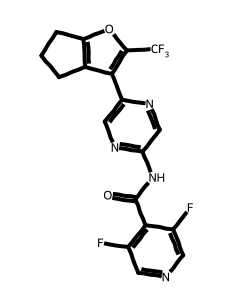 O=C(Nc1cnc(-c2c(C(F)(F)F)oc3c2CCC3)cn1)c1c(F)cncc1F